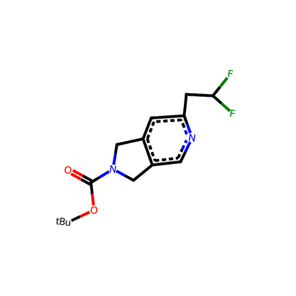 CC(C)(C)OC(=O)N1Cc2cnc(CC(F)F)cc2C1